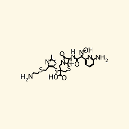 Cc1nc(CSCCN)c(SC2(C(=O)O)CS[C@@H]3[C@H](NC(=O)C(=NO)c4cccc(N)n4)C(=O)N3C2)s1